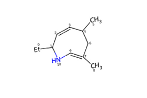 CCC1/C=C\C(C)C/C(C)=C/N1